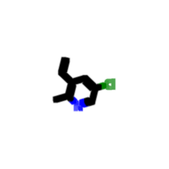 C=Cc1cc(Cl)cnc1C